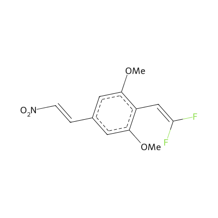 COc1cc(C=C[N+](=O)[O-])cc(OC)c1C=C(F)F